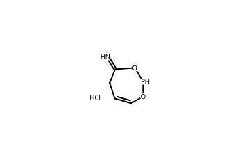 Cl.N=C1CC=COPO1